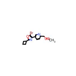 COOCc1ccc(-c2nc(C3CCC3)oc2Br)cn1